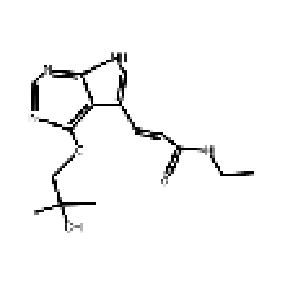 CCNC(=O)C=Cc1c[nH]c2ncnc(OCC(C)(C)O)c12